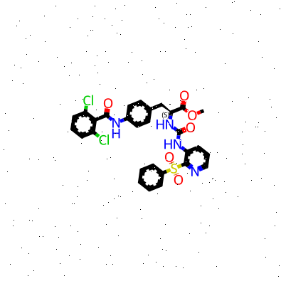 COC(=O)[C@H](Cc1ccc(NC(=O)c2c(Cl)cccc2Cl)cc1)NC(=O)Nc1cccnc1S(=O)(=O)c1ccccc1